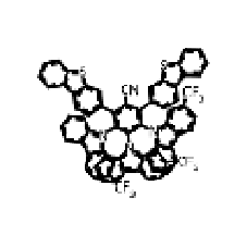 N#Cc1c(-c2ccc3c(c2)sc2ccccc23)c(-n2c3ccccc3c3ccc(C(F)(F)F)cc32)c(-n2c3ccccc3c3ccc(C(F)(F)F)cc32)c(-n2c3ccccc3c3ccc(C(F)(F)F)cc32)c1-c1ccc2c(c1)sc1ccccc12